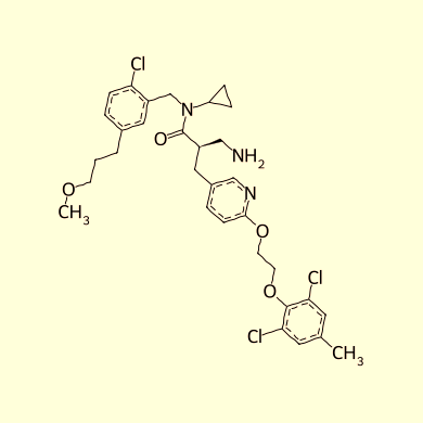 COCCCc1ccc(Cl)c(CN(C(=O)[C@@H](CN)Cc2ccc(OCCOc3c(Cl)cc(C)cc3Cl)nc2)C2CC2)c1